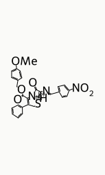 COc1ccc(COC(=O)C2=C(c3ccccc3)CS[C@H]3[C@@H](N=Cc4ccc([N+](=O)[O-])cc4)C(=O)N23)cc1